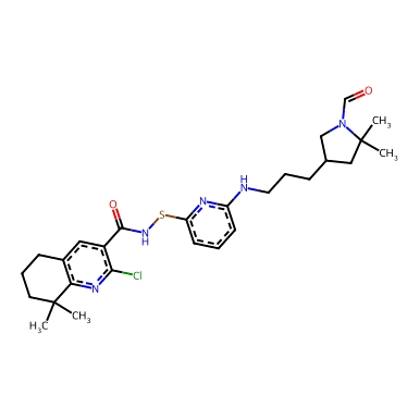 CC1(C)CCCc2cc(C(=O)NSc3cccc(NCCCC4CN(C=O)C(C)(C)C4)n3)c(Cl)nc21